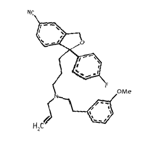 C=CCN(CCCC1(c2ccc(F)cc2)OCc2cc(C#N)ccc21)CCc1cccc(OC)c1